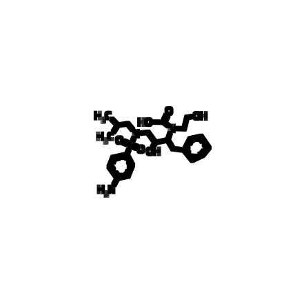 CC(C)CN(CC(O)C(Cc1ccccc1)N(CCO)C(=O)O)S(=O)(=O)c1ccc(N)cc1